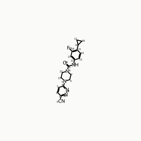 N#Cc1ccc(N2CCN(C(=O)Nc3ccc(C4CC4)c(F)c3)CC2)nn1